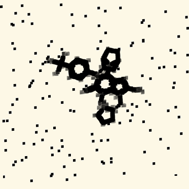 Cc1nc2c(N3C4CCC3[C@@H](Oc3ccc(C(F)(F)F)cc3)C4)nc(=O)n(C)c2n1C[C@@H]1CCCO1